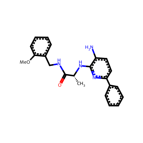 COc1ccccc1CNC(=O)[C@@H](C)Nc1nc(-c2ccccc2)ccc1N